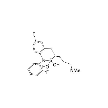 CNCCC[C@@H]1Cc2cc(F)ccc2N(c2ccccc2F)S1(O)O